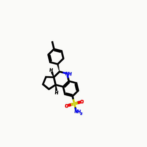 CC1=CCC([C@@H]2Nc3ccc(S(N)(=O)=O)cc3[C@@H]3CCC[C@@H]32)C=C1